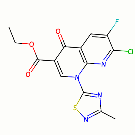 CCOC(=O)c1cn(-c2nc(C)ns2)c2nc(Cl)c(F)cc2c1=O